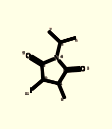 CC1C(=O)N(C(C)C)C(=O)C1I